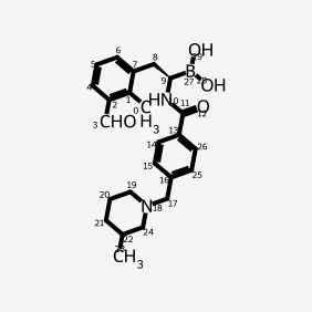 Cc1c(C=O)cccc1C[C@H](NC(=O)c1ccc(CN2CCCC(C)C2)cc1)B(O)O